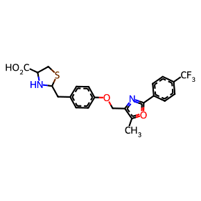 Cc1oc(-c2ccc(C(F)(F)F)cc2)nc1COc1ccc(CC2NC(C(=O)O)CS2)cc1